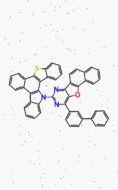 c1ccc(-c2cccc(-c3nc(-n4c5ccccc5c5c6ccccc6c6sc7ccccc7c6c54)nc4c3oc3c5ccccc5ccc43)c2)cc1